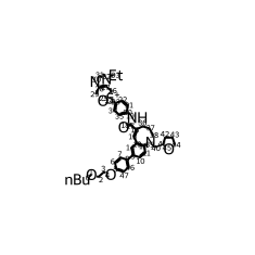 CCCCOCCOc1ccc(-c2ccc3c(c2)/C=C(/C(=O)Nc2ccc([S@+]([O-])Cc4c(C)ncn4CC)cc2)CCCN3C[C@H]2CCCO2)cc1